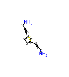 NCC#Cc1ccc(C#CCN)s1